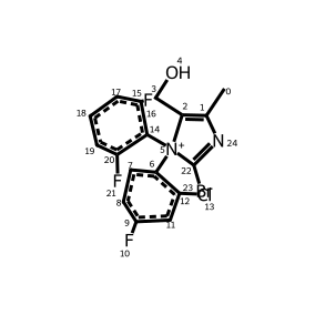 CC1=C(CO)[N+](c2ccc(F)cc2Cl)(c2c(F)cccc2F)C(Br)=N1